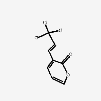 O=c1occcc1C=CC(Cl)(Cl)Cl